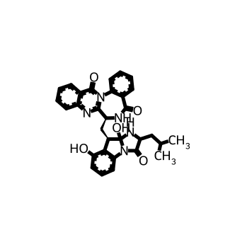 CC(C)CC1NC2(O)[C@H](C[C@@H]3NC(=O)c4ccccc4-n4c3nc3ccccc3c4=O)c3c(O)cccc3N2C1=O